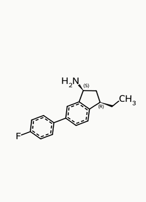 CC[C@@H]1C[C@H](N)c2cc(-c3ccc(F)cc3)ccc21